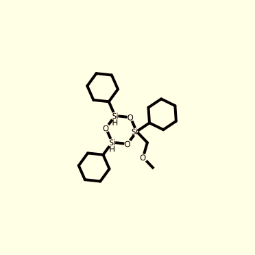 COC[Si]1(C2CCCCC2)O[SiH](C2CCCCC2)O[SiH](C2CCCCC2)O1